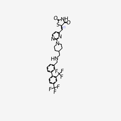 O=C1NC(=O)/C(=C/c2ccnc(N3CCC(CNCc4cccc(-c5ccc(C(F)(F)F)cc5C(F)(F)F)c4)CC3)n2)S1